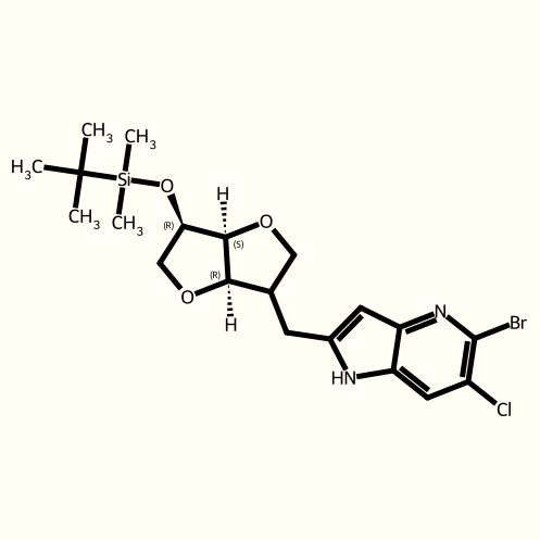 CC(C)(C)[Si](C)(C)O[C@@H]1CO[C@@H]2C(Cc3cc4nc(Br)c(Cl)cc4[nH]3)CO[C@@H]21